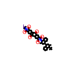 Cc1cc(-c2cc(C)c(C(C)(C)C)c3ccccc23)c2ccccc2c1N1C(=O)c2cc3c(cc2C1=O)C1CC(C3=O)c2cc3c(cc2C1=O)C(=O)N(C(C)(C)I)C3=O